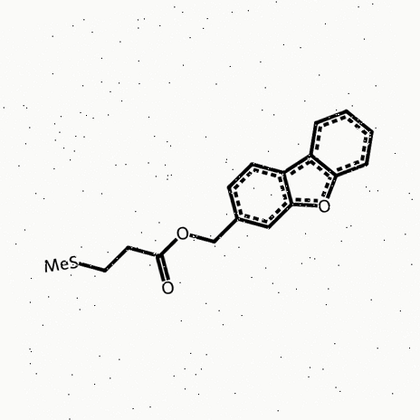 CSCCC(=O)OCc1ccc2c(c1)oc1ccccc12